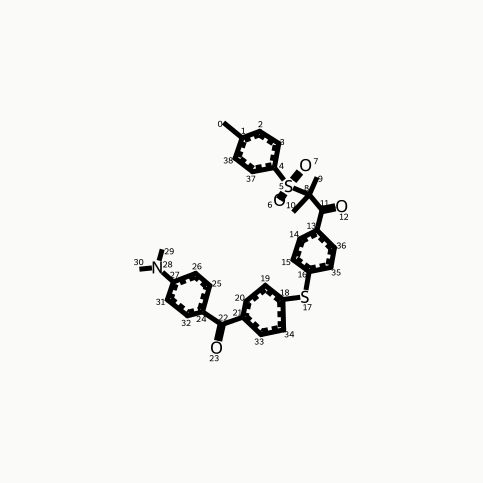 Cc1ccc(S(=O)(=O)C(C)(C)C(=O)c2ccc(Sc3ccc(C(=O)c4ccc(N(C)C)cc4)cc3)cc2)cc1